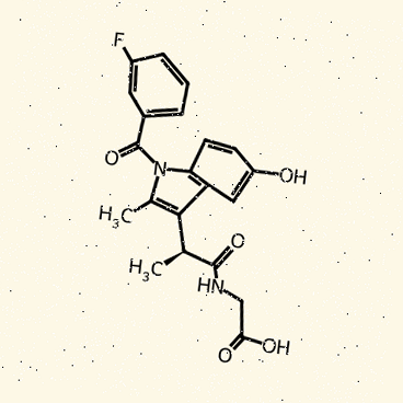 Cc1c([C@H](C)C(=O)NCC(=O)O)c2cc(O)ccc2n1C(=O)c1cccc(F)c1